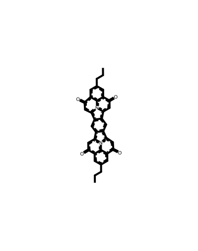 CCCc1cc2c(=O)cc3c4cc5c(cc4c4cc(=O)c(c1)c2n34)c1cc(=O)c2cc(CCC)cc3c(=O)cc5n1c32